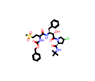 CC(C)(C)NC(=O)[C@@H]1C[C@H](Cl)CN1C(=O)[C@@H](O)[C@H](Cc1ccccc1)NC(=O)C(CCS(C)(=O)=O)NC(=O)OCc1ccccc1